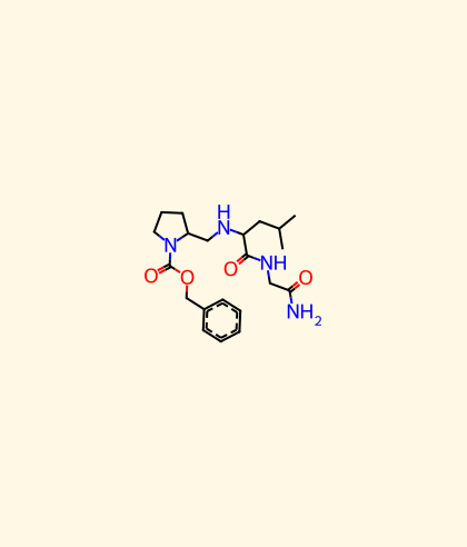 CC(C)CC(NCC1CCCN1C(=O)OCc1ccccc1)C(=O)NCC(N)=O